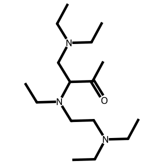 CCN(CC)CCN(CC)C(CN(CC)CC)C(C)=O